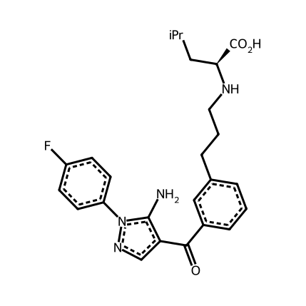 CC(C)C[C@H](NCCCc1cccc(C(=O)c2cnn(-c3ccc(F)cc3)c2N)c1)C(=O)O